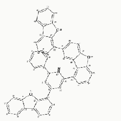 c1ccc(C2N=C(c3cccc4c3oc3ccccc34)N=C(c3cccc4oc5ccc(-c6cccc7c6oc6ccccc67)cc5c34)N2)cc1